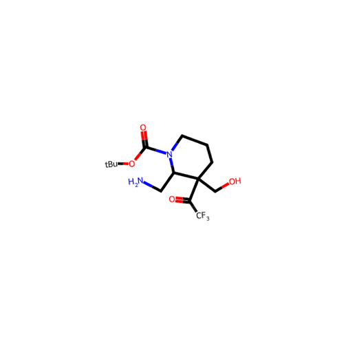 CC(C)(C)OC(=O)N1CCCC(CO)(C(=O)C(F)(F)F)C1CN